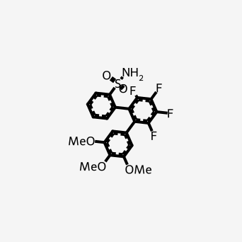 COc1cc(-c2c(F)c(F)c(F)c(F)c2-c2ccccc2S(N)(=O)=O)cc(OC)c1OC